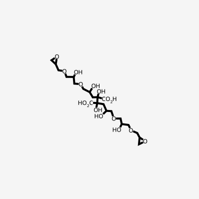 O=C(O)C(O)(CC(O)COCC(O)COCC1CO1)C(O)(CC(O)COCC(O)COCC1CO1)C(=O)O